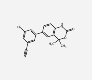 CC1(C)OC(=O)Nc2ccc(-c3cc(Cl)cc(C#N)c3)cc21